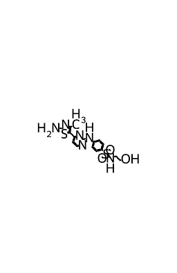 Cc1nc(N)sc1-c1ccnc(Nc2ccc(S(=O)(=O)NCCO)cc2)n1